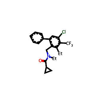 [CH2]Cc1c(CN(CC)C(=O)C2CC2)c(-c2ccccc2)cc(Cl)c1C(F)(F)F